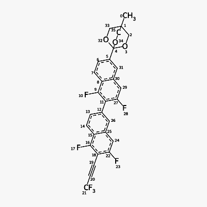 CC12COC(c3ccc4c(F)c(-c5ccc6c(F)c(C#CC(F)(F)F)c(F)cc6c5)c(F)cc4c3)(OC1)OC2